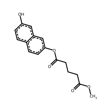 COC(=O)CCCC(=O)Oc1ccc2ccc(O)cc2c1